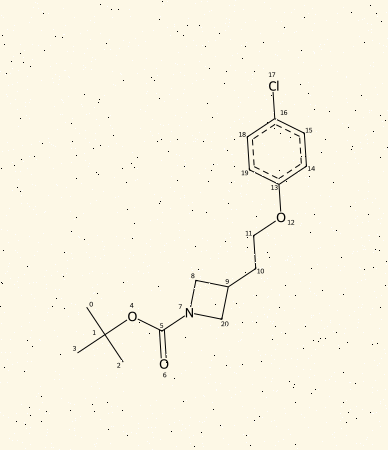 CC(C)(C)OC(=O)N1CC(CCOc2ccc(Cl)cc2)C1